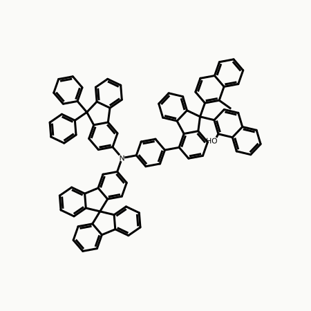 Cc1c(C2(c3ccc4ccccc4c3O)c3ccccc3-c3c(-c4ccc(N(c5ccc6c(c5)-c5ccccc5C6(c5ccccc5)c5ccccc5)c5ccc6c(c5)-c5ccccc5C65c6ccccc6-c6ccccc65)cc4)cccc32)ccc2ccccc12